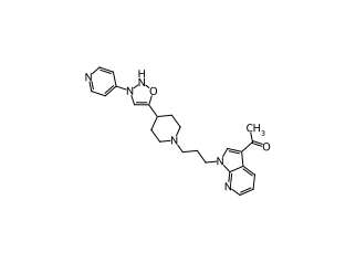 CC(=O)c1cn(CCCN2CCC(C3=CN(c4ccncc4)NO3)CC2)c2ncccc12